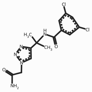 CC(C)(NC(=O)c1cc(Cl)cc(Cl)c1)c1cn(CC(N)=O)nn1